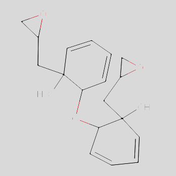 CC1(CC2CO2)C=CC=CC1OC1C=CC=CC1(C)CC1CO1